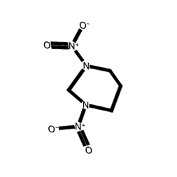 O=[N+]([O-])N1CCCN([N+](=O)[O-])C1